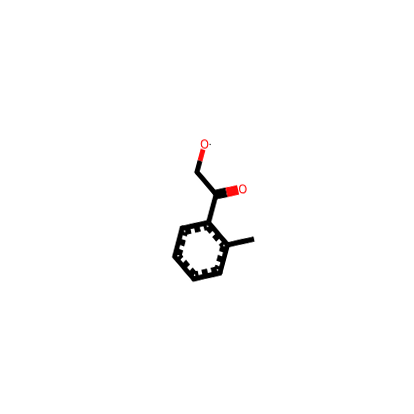 Cc1ccccc1C(=O)C[O]